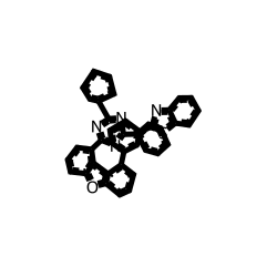 c1ccc(-c2nc(-c3ccccc3)nc(-c3cccc4oc5cccc(-c6cccc(-c7nc8ccccc8s7)c6)c5c34)n2)cc1